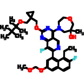 CCc1c(F)ccc2cc(OCOC)cc(-c3ncc4c(N5CCOCC(C)(O)C5)nc(OCC5(CO[Si](C)(C)C(C)(C)C)CC5)nc4c3F)c12